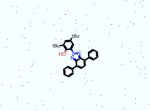 CC(C)(C)c1cc(-n2nc3c(-c4ccccc4)ccc(-c4ccccc4)c3n2)c(O)c(C(C)(C)C)c1